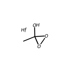 CC1(O)OO1.[Hf]